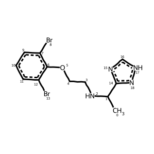 CC(NCCOc1c(Br)cccc1Br)c1nc[nH]n1